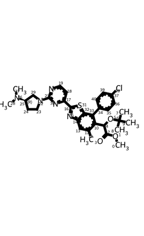 COC(=O)C(OC(C)(C)C)c1c(C)cc2nc(-c3ccnc(N4CC[C@@H](N(C)C)C4)n3)sc2c1-c1ccc(Cl)cc1